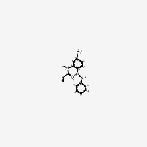 C=CC(=O)N(C)c1cc(O)ccc1N=Nc1ccccc1